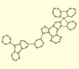 c1ccc(-n2c3ccccc3c3cc(-c4cccc(-c5cnc6c7cc8c(n7c7nccnc7n56)-c5ccccc5C85c6ccccc6-c6ccccc65)c4)ccc32)cc1